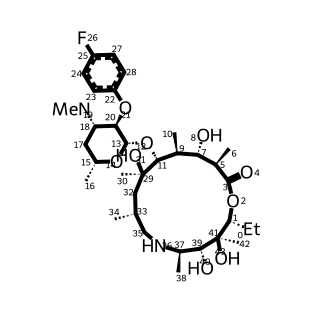 CC[C@H]1OC(=O)[C@H](C)[C@@H](O)[C@H](C)[C@@H](O[C@@H]2O[C@H](C)C[C@H](NC)[C@H]2Oc2ccc(F)cc2)[C@](C)(O)C[C@@H](C)CN[C@H](C)[C@@H](O)[C@]1(C)O